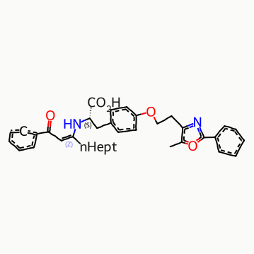 CCCCCCC/C(=C/C(=O)c1ccccc1)N[C@@H](Cc1ccc(OCCc2nc(-c3ccccc3)oc2C)cc1)C(=O)O